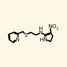 O=[N+]([O-])C1=C(NCCSCc2ccccn2)NCC1